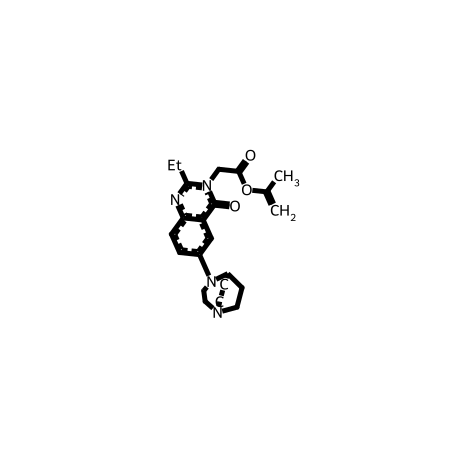 C=C(C)OC(=O)Cn1c(CC)nc2ccc(N3CCN4CCC3CC4)cc2c1=O